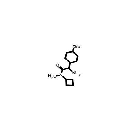 CN(C(=O)C(N)C1CCC(C(C)(C)C)CC1)C1CCC1